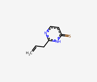 C=CCc1nccc(=S)[nH]1